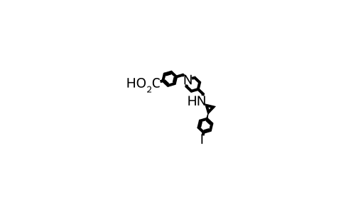 O=C(O)c1ccc(CN2CCC(CN[C@@H]3C[C@H]3c3ccc(I)cc3)CC2)cc1